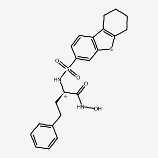 O=C(NO)[C@@H](CCc1ccccc1)NS(=O)(=O)c1ccc2c3c(sc2c1)CCCC3